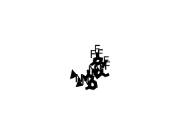 CCc1cnc(N(Cc2cc(C(F)(F)F)cc(C(F)(F)F)c2)Cc2cc3cccc(C)c3nc2CN(C2CC2)C2CC2)nc1